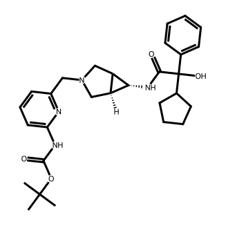 CC(C)(C)OC(=O)Nc1cccc(CN2CC3[C@H](C2)[C@H]3NC(=O)C(O)(c2ccccc2)C2CCCC2)n1